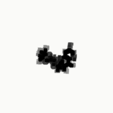 CC(c1ncc(F)cc1N)C(C)C1(C)OB(B2OC(C)(C)C(C)(C)O2)OC1(C)C